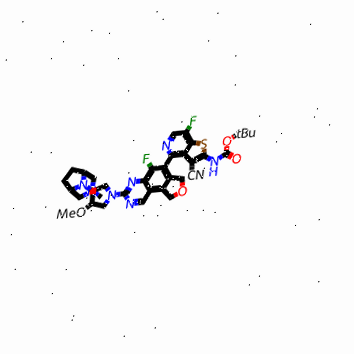 COC1CN(c2ncc3c4c(c(-c5ncc(F)c6sc(NC(=O)OC(C)(C)C)c(C#N)c56)c(F)c3n2)COC4)CC1N1C2CCC1CN(C)C2